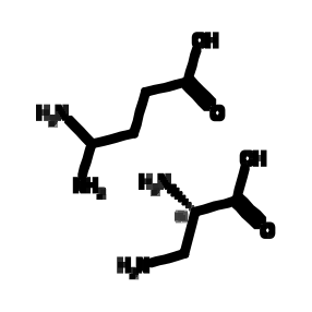 NC(N)CCC(=O)O.NC[C@H](N)C(=O)O